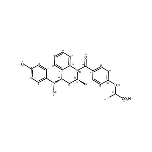 CC(=O)N(c1ccc(Cl)cc1)[C@@H]1C[C@H](C)N(C(=O)c2ccc(OC(F)C(=O)O)cc2)c2ccccc21